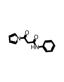 O=C(CC(=O)n1cccc1)Nc1ccccc1